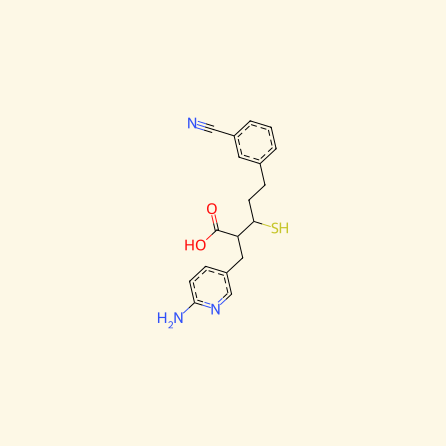 N#Cc1cccc(CCC(S)C(Cc2ccc(N)nc2)C(=O)O)c1